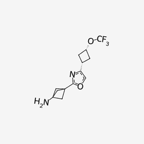 NC12CC(c3nc([C@H]4C[C@@H](OC(F)(F)F)C4)co3)(C1)C2